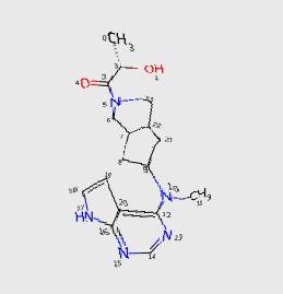 C[C@H](O)C(=O)N1CC2CC(N(C)c3ncnc4[nH]ccc34)CC2C1